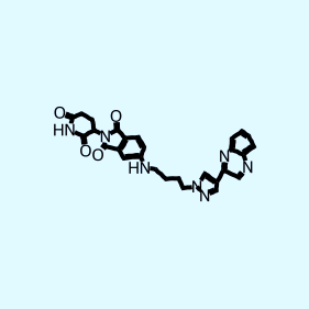 O=C1CCC(N2C(=O)c3ccc(NCCCCn4cc(-c5cnc6ccccc6n5)cn4)cc3C2=O)C(=O)N1